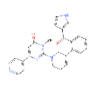 Cn1c(N2CCC=C(c3ccccc3C(=O)c3cc[nH]c3)C2)nc(-c2ccncc2)cc1=O